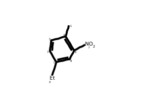 [CH2]Cc1ccc(C)c([N+](=O)[O-])c1